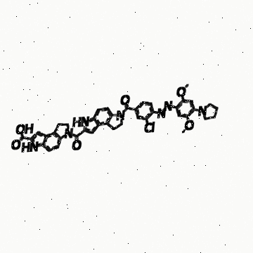 COc1cc(N2CCCC2)c(OC)cc1/N=N/c1ccc(C(=O)N2CCc3c2ccc2[nH]c(C(=O)N4CCc5c4ccc4[nH]c(C(=O)O)cc54)cc32)cc1Cl